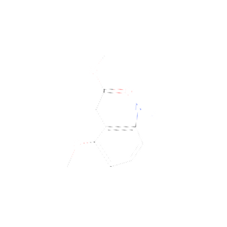 COC(=O)Cc1c(N)cccc1OC